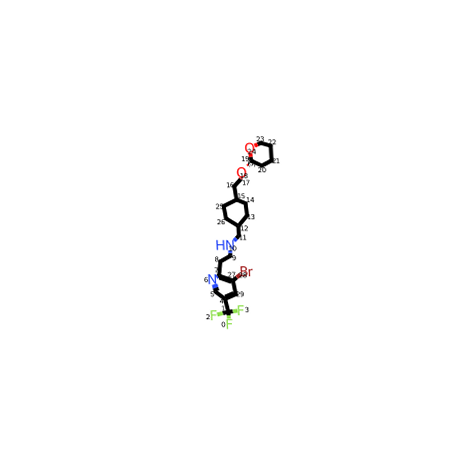 FC(F)(F)c1cnc(CCNCC2CCC(CCO[C@H]3CCCCO3)CC2)c(Br)c1